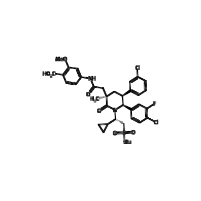 COc1cc(NC(=O)C[C@@]2(C)C[C@@H](c3cccc(Cl)c3)[C@@H](c3ccc(Cl)c(F)c3)N([C@H](CS(=O)(=O)C(C)(C)C)C3CC3)C2=O)ccc1C(=O)O